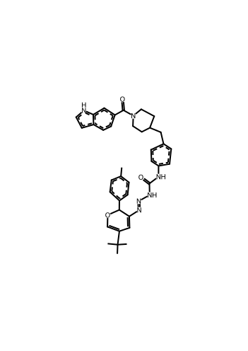 Cc1ccc(C2OC=C(C(C)(C)C)C=C2N=NNC(=O)Nc2ccc(CC3CCN(C(=O)c4ccc5cc[nH]c5c4)CC3)cc2)cc1